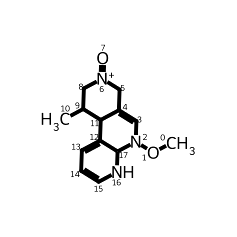 CON1C=C2C[N+](=O)CC(C)C2C2=CC=CNC21